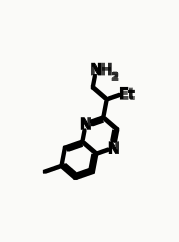 CCC(CN)c1cnc2c(n1)=CC(C)=C=C=2